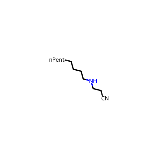 CCCCCCCCCNCCC#N